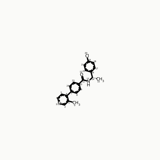 Cc1cnccc1-c1ccc(C(=O)N[C@@H](C)c2ccc(Cl)cc2)cc1